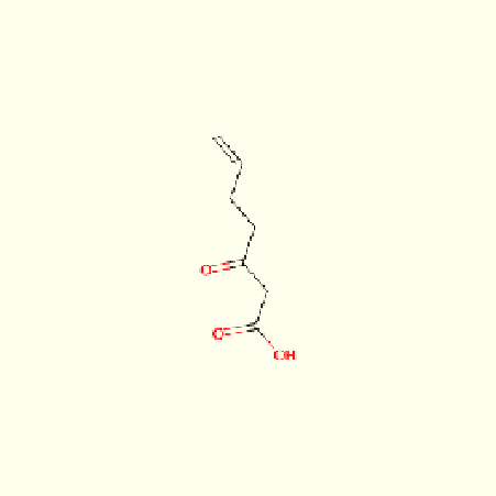 C=CCCC(=O)CC(=O)O